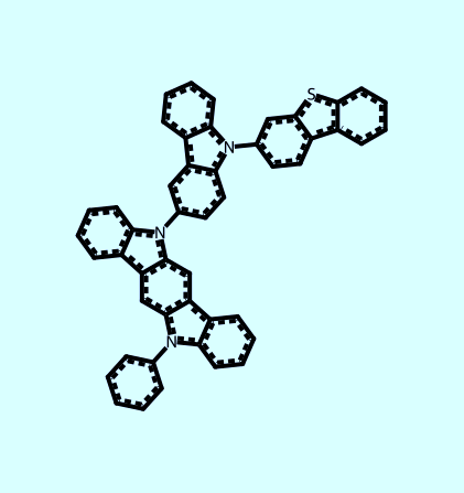 c1ccc(-n2c3ccccc3c3cc4c(cc32)c2ccccc2n4-c2ccc3c(c2)c2ccccc2n3-c2ccc3c(c2)sc2ccccc23)cc1